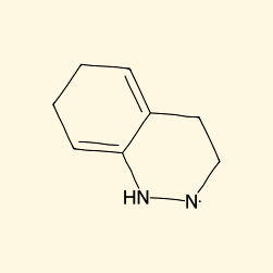 C1=C2CC[N]NC2=CCC1